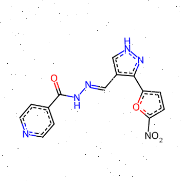 O=C(NN=Cc1c[nH]nc1-c1ccc([N+](=O)[O-])o1)c1ccncc1